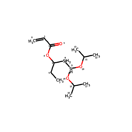 C=CC(=O)OC(CC)[SiH2][SiH](OC(C)C)OC(C)C